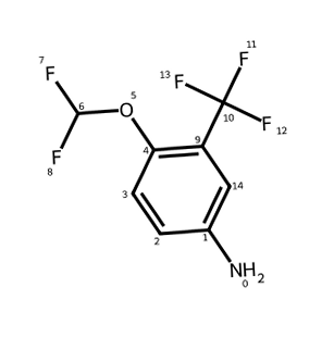 Nc1ccc(OC(F)F)c(C(F)(F)F)c1